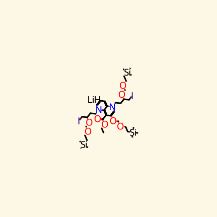 CCOC(=O)C1=C2C(=CC=CN2CCC(CI)OCOCC[Si](C)(C)C)N(CCC(CI)OCOCC[Si](C)(C)C)C=C1OCOCC[Si](C)(C)C.[LiH]